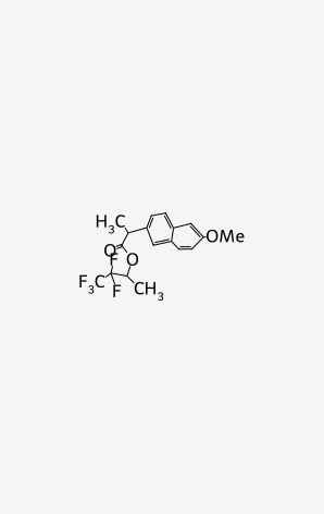 COc1ccc2cc(C(C)C(=O)OC(C)C(F)(F)C(F)(F)F)ccc2c1